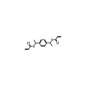 C=CC(=O)SC(C)c1ccc(C(C)SC(=O)C=C)cc1